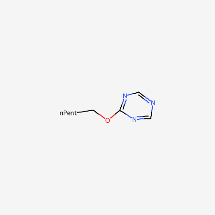 CCCCCCOc1ncncn1